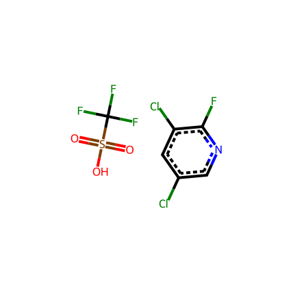 Fc1ncc(Cl)cc1Cl.O=S(=O)(O)C(F)(F)F